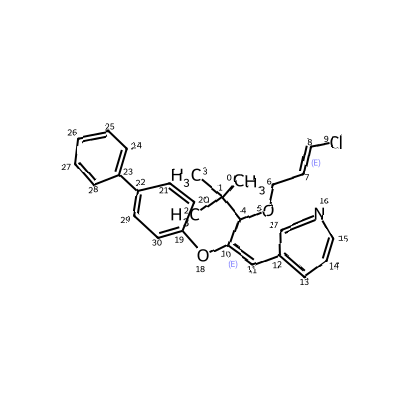 CC(C)(C)C(OC/C=C/Cl)/C(=C\c1cccnc1)Oc1ccc(-c2ccccc2)cc1